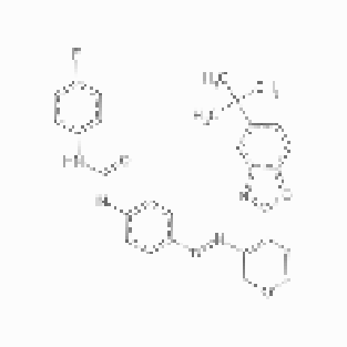 CC(C)(C)c1ccc2oc(C3=C(N=Nc4ccc(NC(=O)Nc5ccc(F)cc5)cc4)COC=C3)nc2c1